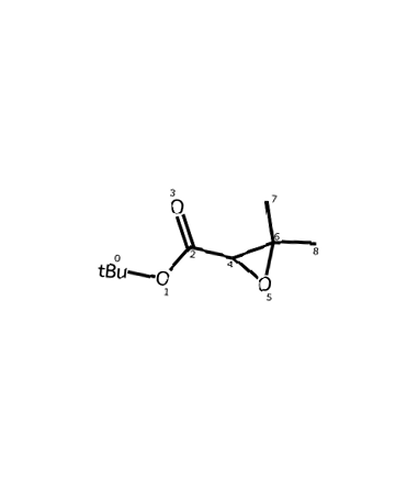 CC(C)(C)OC(=O)C1OC1(C)C